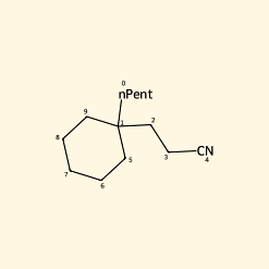 CCCCCC1(CCC#N)CCCCC1